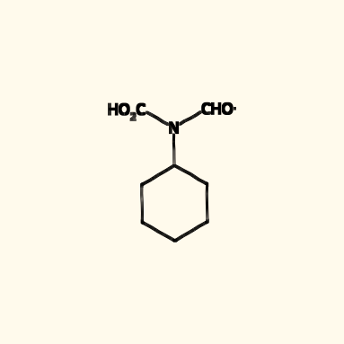 O=[C]N(C(=O)O)C1CCCCC1